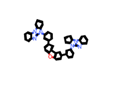 c1cc(-c2ccc3oc4ccc(-c5cccc(-n6c7ccccc7n7c8ccccc8nc67)c5)cc4c3c2)cc(-n2c3ccccc3n3c4ccccc4nc23)c1